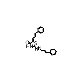 O=C1NC(=NN=CC=Cc2ccccc2)SC1=CC=Cc1ccccc1